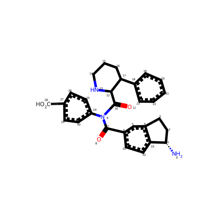 N[C@H]1CCc2cc(C(=O)N(C(=O)C3NCCCC3c3ccccc3)c3ccc(C(=O)O)cc3)ccc21